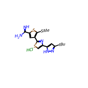 CSc1sc(C(=N)N)cc1-c1nc(-c2cc(C(C)(C)C)n[nH]2)cs1.Cl